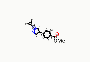 COC(=O)c1ccc(-c2cnn(C3CC3)c2)cc1